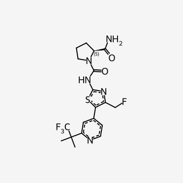 CC(C)(c1cc(-c2sc(NC(=O)N3CCC[C@H]3C(N)=O)nc2CF)ccn1)C(F)(F)F